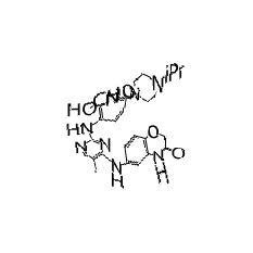 Cc1cnc(Nc2ccc(N3CCN(C(C)C)CC3)nc2)nc1Nc1ccc2c(c1)NC(=O)CO2.O=CO